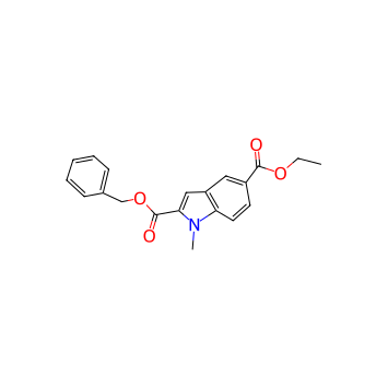 CCOC(=O)c1ccc2c(c1)cc(C(=O)OCc1ccccc1)n2C